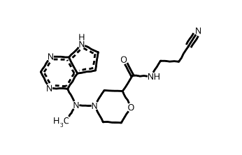 CN(c1ncnc2[nH]ccc12)N1CCOC(C(=O)NCCC#N)C1